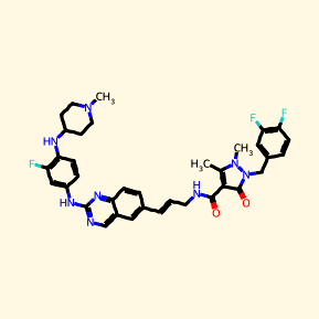 Cc1c(C(=O)NC/C=C/c2ccc3nc(Nc4ccc(NC5CCN(C)CC5)c(F)c4)ncc3c2)c(=O)n(Cc2ccc(F)c(F)c2)n1C